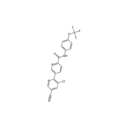 N#Cc1cnc(-c2ccc(C(=O)Nc3ccc(OC(F)(F)F)cc3)nc2)c(Cl)c1